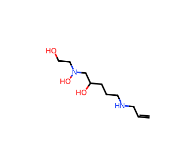 C=CCNCCCC(O)CN(O)CCO